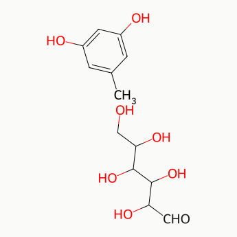 Cc1cc(O)cc(O)c1.O=CC(O)C(O)C(O)C(O)CO